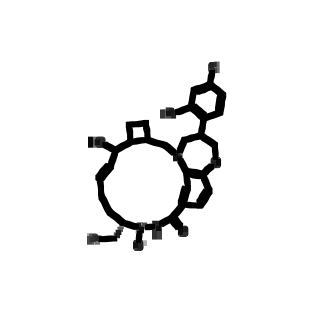 CCCc1cc(Cl)ccc1C1COc2ccc3cc2N(C1)CC1CCC1C(O)/C=C/CC[C@@H](CC(C)C)[S+]([O-])NC3=O